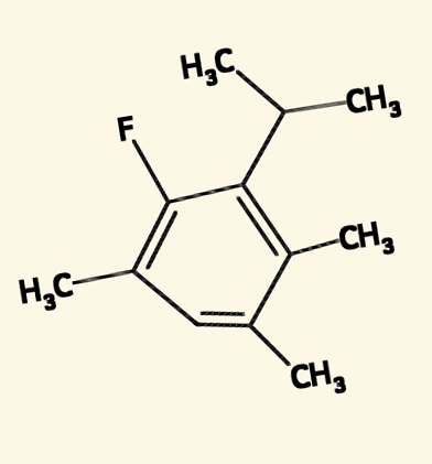 Cc1cc(C)c(F)c(C(C)C)c1C